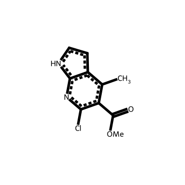 COC(=O)c1c(Cl)nc2[nH]ccc2c1C